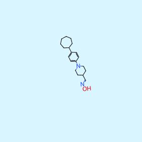 ON=CC1CCN(c2ccc(C3CCCCCC3)cc2)CC1